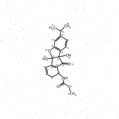 COC(=O)NC1CC=CC2=C1C(=O)C1(O)c3ccc(C(C)C)cc3OC21O